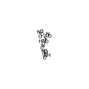 COc1cc(-c2cn(C)c(=O)c3cc(C(=O)NC4CCN(c5ccc6c(c5)C(=O)N(C5CCC(=O)NC5=O)C6)CC4)sc23)cc(OC)c1CN(C)C